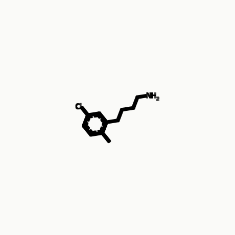 Cc1ccc(Cl)cc1CCCCN